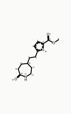 COC(=O)c1[c]cc(CCC2CCNC(=O)CC2)s1